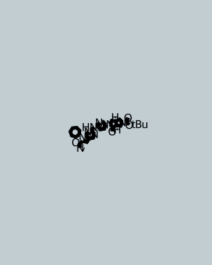 CN(C)C(=O)c1cc2cnc(Nc3ccc(N4C[C@H]5CN(C(=O)OC(C)(C)C)C[C@H]5C4=O)cn3)nc2n1C1CCCCCC1